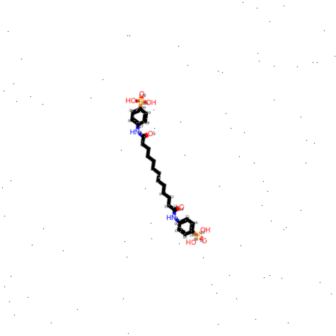 O=C(CCCCCCCCCCCC(=O)Nc1ccc(P(=O)(O)O)cc1)Nc1ccc(P(=O)(O)O)cc1